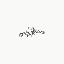 C[C@@H]1CN(C(=O)N2Cc3c(N)nn(COCC[Si](C)(C)C)c3C2(C)C)[C@@H](C)CN1CC1CCOCC1